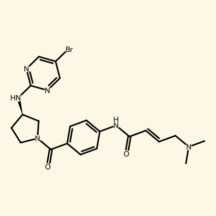 CN(C)C/C=C/C(=O)Nc1ccc(C(=O)N2CC[C@@H](Nc3ncc(Br)cn3)C2)cc1